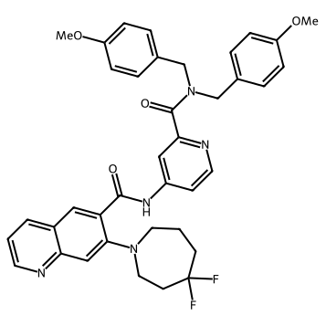 COc1ccc(CN(Cc2ccc(OC)cc2)C(=O)c2cc(NC(=O)c3cc4cccnc4cc3N3CCCC(F)(F)CC3)ccn2)cc1